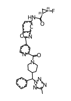 Cc1nnn(C(c2ccccc2)C2CCN(C(=O)c3cc(-c4nc5cc(NC(=O)[C@H]6C[C@H]6F)ccc5o4)ccn3)CC2)n1